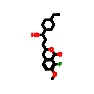 CCC1CCC(C(O)CCC2Cc3ccc(OC)c(F)c3C(=O)O2)CC1